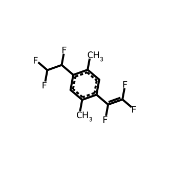 Cc1cc(C(F)C(F)F)c(C)cc1C(F)=C(F)F